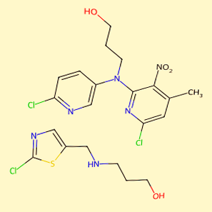 Cc1cc(Cl)nc(N(CCCO)c2ccc(Cl)nc2)c1[N+](=O)[O-].OCCCNCc1cnc(Cl)s1